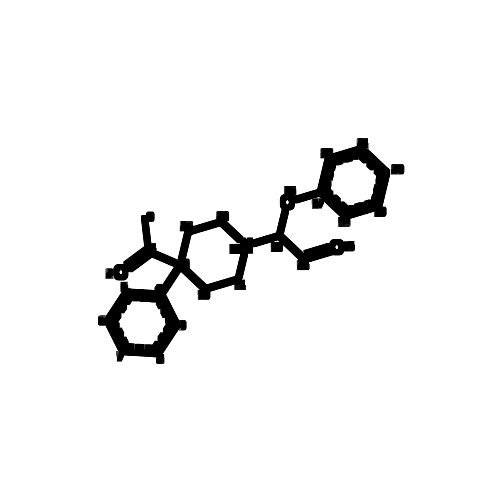 CC(=O)C1(c2ccccc2)CCN(C(C=O)Oc2ccccc2)CC1